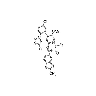 CCC(C(=O)Nc1ccc2nn(C)nc2c1)n1cc(OC)c(-c2cc(Cl)ccc2-n2cc(Cl)nn2)cc1=O